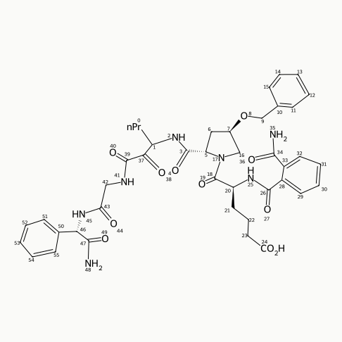 CCCC(NC(=O)[C@@H]1C[C@@H](OCc2ccccc2)CN1C(=O)[C@H](CCCC(=O)O)NC(=O)c1ccccc1C(N)=O)C(=O)C(=O)NCC(=O)N[C@H](C(N)=O)c1ccccc1